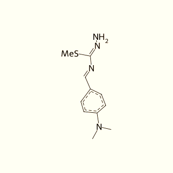 CSC(=N\N)/N=C/c1ccc(N(C)C)cc1